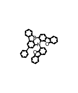 c1ccc(-c2cc3c4c(c2)N(c2cccc5c2oc2ccccc25)c2c(ccc5c2oc2ccccc25)B4c2ccccc2-3)cc1